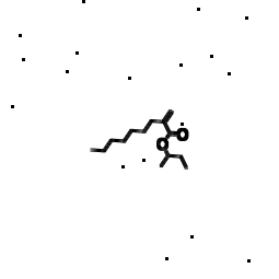 C=C(CCCCCCC)C(=O)OC(C)CC